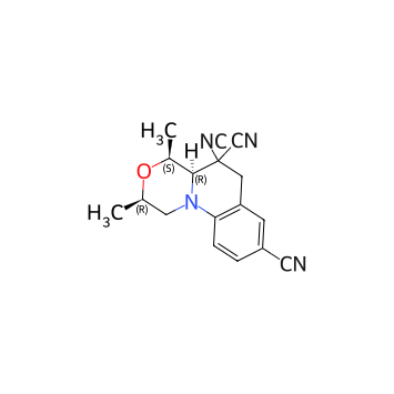 C[C@@H]1CN2c3ccc(C#N)cc3CC(C#N)(C#N)[C@@H]2[C@H](C)O1